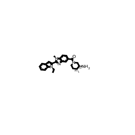 CCn1c(-c2nc3cc(C(=O)N4CC[C@@H](C)[C@H](N)C4)ccc3n2C)cc2ccccc21